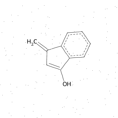 C=C1C=C(O)c2ccccc21